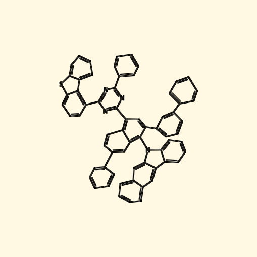 c1ccc(-c2cccc(-c3cc(-c4nc(-c5ccccc5)nc(-c5cccc6sc7ccccc7c56)n4)c4ccc(-c5ccccc5)cc4c3-n3c4ccccc4c4cc5ccccc5cc43)c2)cc1